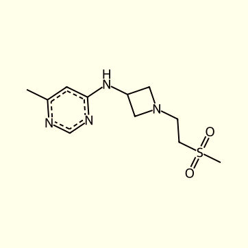 Cc1cc(NC2CN(CCS(C)(=O)=O)C2)ncn1